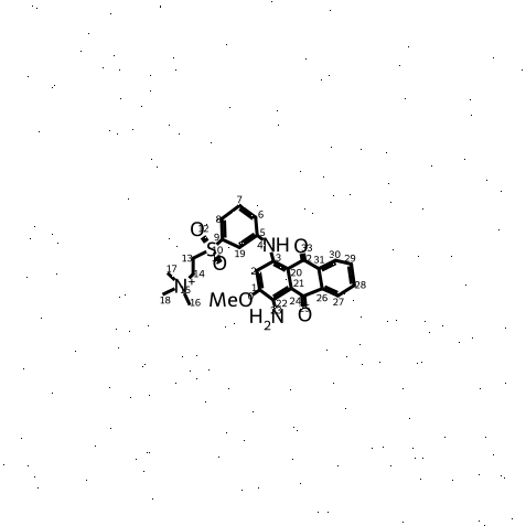 COc1cc(Nc2cccc(S(=O)(=O)CC[N+](C)(C)C)c2)c2c(c1N)C(=O)c1ccccc1C2=O